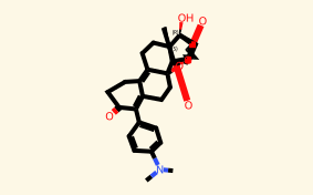 CN(C)c1ccc(C2=C3CCC45OC(=O)OCCCC(=O)[C@@]6(O)CCC4[C@]6(C)CCC5=C3CCC2=O)cc1